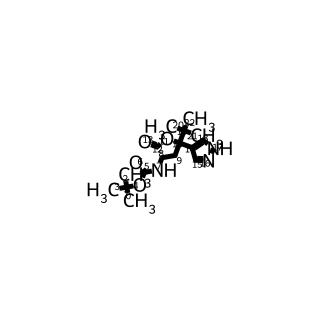 CC(C)(C)OC(=O)NCCC(OC=O)(c1cn[nH]c1)C(C)(C)C